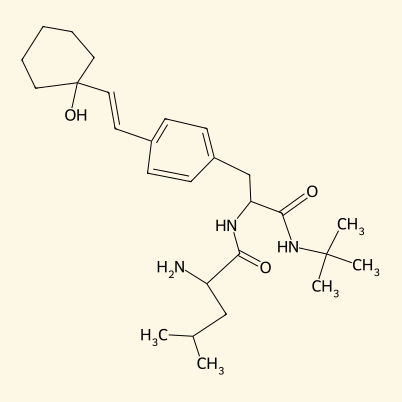 CC(C)CC(N)C(=O)NC(Cc1ccc(C=CC2(O)CCCCC2)cc1)C(=O)NC(C)(C)C